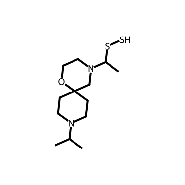 CC(C)N1CCC2(CC1)CN(C(C)SS)CCO2